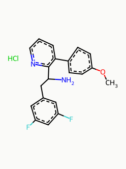 COc1ccc(-c2cccnc2C(N)Cc2cc(F)cc(F)c2)cc1.Cl